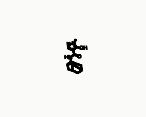 Cn1ncc(C(=O)NC2C3CC4CC(C3)CC2C4)c1O